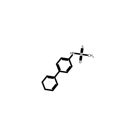 CS(=O)(=S)Nc1ccc(C2=CCCC=C2)cc1